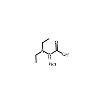 CCN(CC)NC(=O)O.Cl